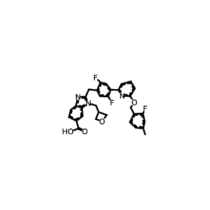 Cc1ccc(COc2cccc(-c3cc(F)c(Cc4nc5ccc(C(=O)O)cc5n4CC4COC4)cc3F)n2)c(F)c1